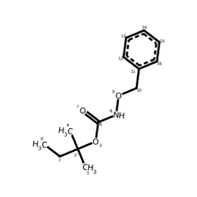 CCC(C)(C)OC(=O)NOCc1ccccc1